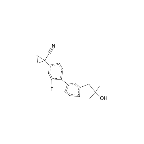 CC(C)(O)Cc1cccc(-c2ccc(C3(C#N)CC3)cc2F)c1